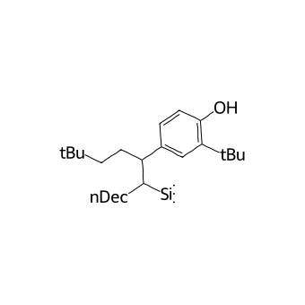 CCCCCCCCCCC([Si])C(CCC(C)(C)C)c1ccc(O)c(C(C)(C)C)c1